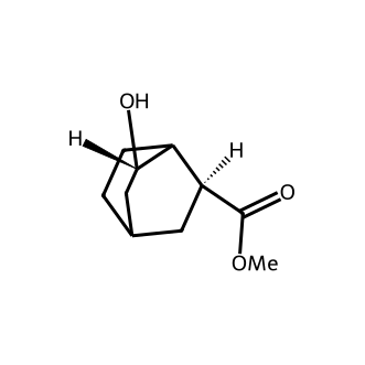 COC(=O)[C@H]1CC2CCC1[C@@H](O)C2